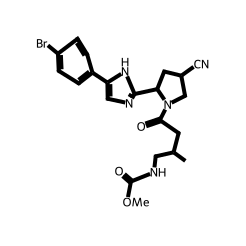 COC(=O)NCC(C)CC(=O)N1CC(C#N)CC1c1ncc(-c2ccc(Br)cc2)[nH]1